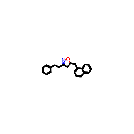 c1ccc(CCC2=NOC(Cc3cccc4ccccc34)C2)cc1